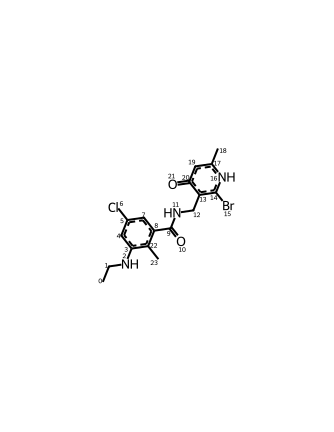 CCNc1cc(Cl)cc(C(=O)NCc2c(Br)[nH]c(C)cc2=O)c1C